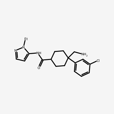 CCn1nccc1NC(=O)C1CCC(CN)(c2cccc(Cl)c2)CC1